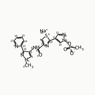 Cn1cc(NC(=O)c2csc(-c3cnn(OP(C)(=O)[O-])c3)n2)c(-c2ccccn2)n1.[Na+]